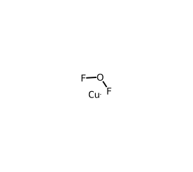 FOF.[Cu]